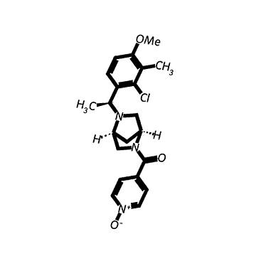 COc1ccc([C@H](C)N2C[C@@H]3C[C@H]2CN3C(=O)c2cc[n+]([O-])cc2)c(Cl)c1C